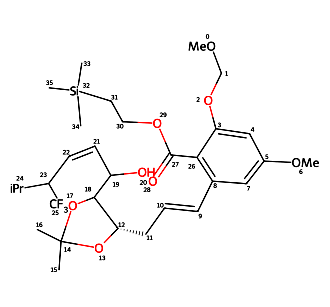 COCOc1cc(OC)cc(/C=C/C[C@@H]2OC(C)(C)OC2C(O)/C=C\C(C(C)C)C(F)(F)F)c1C(=O)OCC[Si](C)(C)C